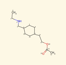 CCNCC1CCC(CCOC(C)=O)CC1